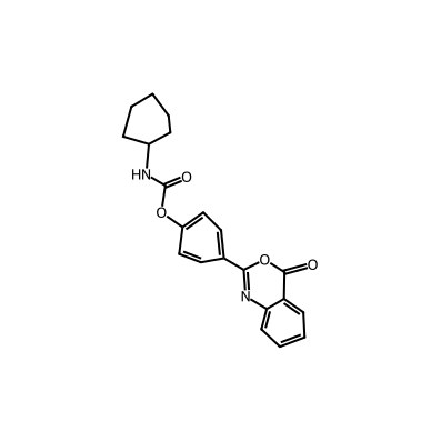 O=C(NC1CCCCC1)Oc1ccc(-c2nc3ccccc3c(=O)o2)cc1